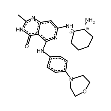 Cc1nc2cc(N[C@H]3CCCC[C@H]3N)nc(Nc3ccc(N4CCOCC4)cc3)c2c(=O)[nH]1